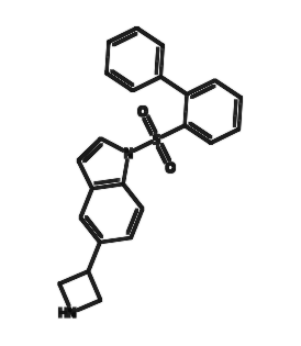 O=S(=O)(c1ccccc1-c1ccccc1)n1ccc2cc(C3CNC3)ccc21